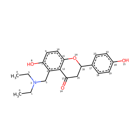 CCN(CC)Cc1c(O)ccc2c1C(=O)CC(c1ccc(O)cc1)O2